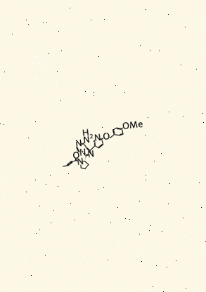 CC#CC(=O)N1CCC[C@H]1c1nc(-c2ccc(OCc3ccc(OC)cc3)nc2)c2c(N)nccn12